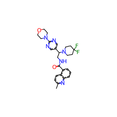 Cc1ccc2c(C(=O)NCC(c3cnc(N4CCOCC4)nc3)N3CCC(F)(F)CC3)cccc2n1